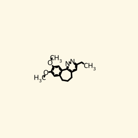 CCc1cc2c(nn1)-c1cc(OC)c(OC)cc1CCC2